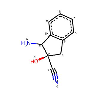 N#C[C@@]1(O)Cc2ccccc2C1N